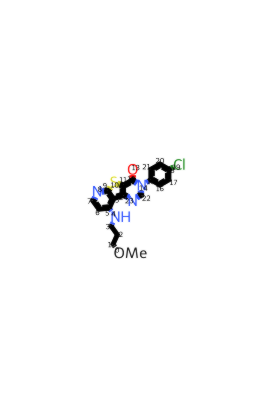 COCCCNc1ccnc2sc3c(=O)n(-c4ccc(Cl)cc4)cnc3c12